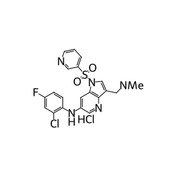 CNCc1cn(S(=O)(=O)c2cccnc2)c2cc(Nc3ccc(F)cc3Cl)cnc12.Cl